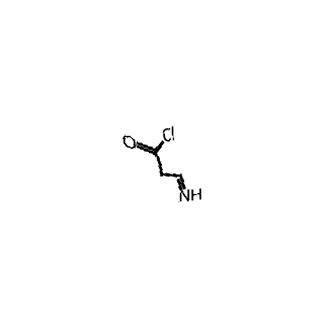 N=CCC(=O)Cl